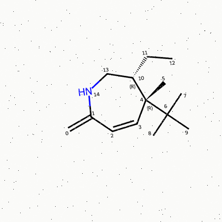 C=C1C=C[C@@](C)(C(C)(C)C)[C@@H](CC)CN1